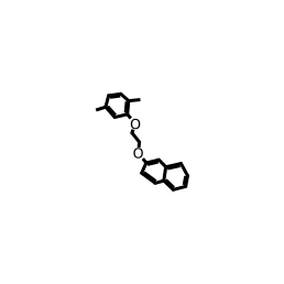 Cc1ccc(C)c(OCCOc2ccc3ccccc3c2)c1